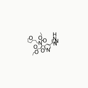 CCOC(=O)c1oc2ncc(-c3c[nH]nn3)cc2c1N(CCC1CCCO1)C(=O)OCC